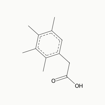 Cc1cc(CC(=O)O)c(C)c(C)c1C